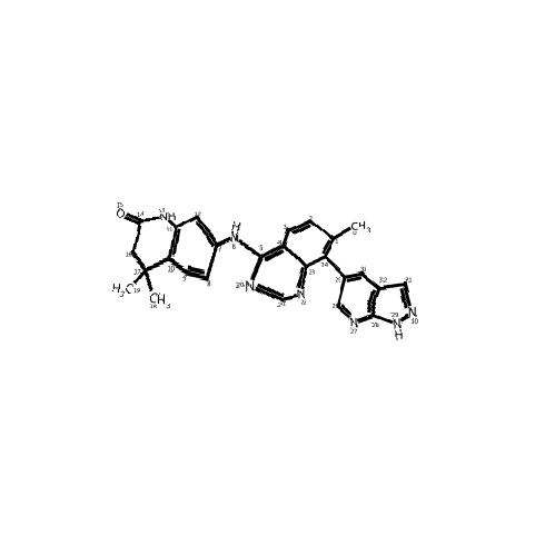 Cc1ccc2c(Nc3ccc4c(c3)NC(=O)CC4(C)C)ncnc2c1-c1cnc2[nH]ncc2c1